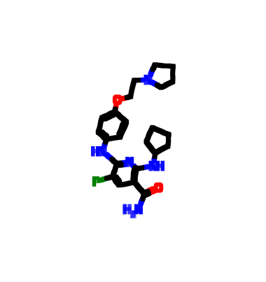 NC(=O)c1cc(F)c(Nc2ccc(OCCN3CCCC3)cc2)nc1NC1CCCC1